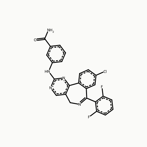 NC(=O)c1cccc(Nc2ncc3c(n2)-c2ccc(Cl)cc2C(c2c(F)cccc2F)=NC3)c1